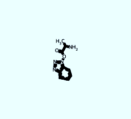 CC(N)C(=O)On1nnc2ccccc21